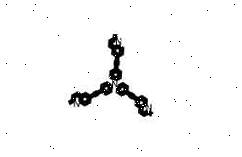 Cc1ccc2cc(C#Cc3ccc(N(c4ccc(C#Cc5ccc6nc(C)ccc6c5)cc4)c4ccc(C#Cc5ccc6nc(C)ccc6c5)cc4)cc3)ccc2n1